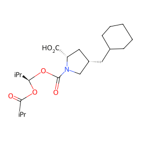 CC(C)C(=O)O[C@H](OC(=O)N1C[C@@H](CC2CCCCC2)C[C@H]1C(=O)O)C(C)C